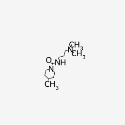 CC1CCN(C(=O)NCCCN(C)C)CC1